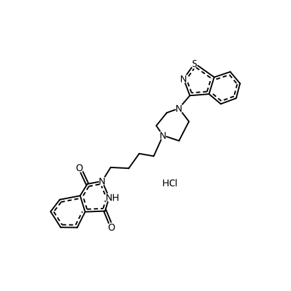 Cl.O=c1[nH]n(CCCCN2CCN(c3nsc4ccccc34)CC2)c(=O)c2ccccc12